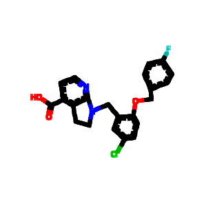 O=C(O)c1ccnc2c1CCN2Cc1cc(Cl)ccc1OCc1ccc(F)cc1